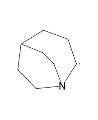 [CH]1CCC2CCN1CC2